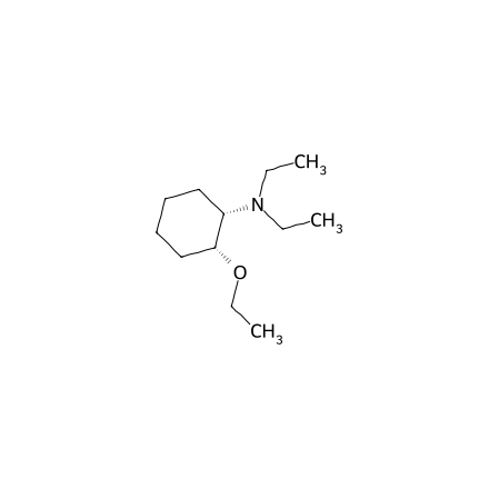 CCO[C@@H]1CCCC[C@@H]1N(CC)CC